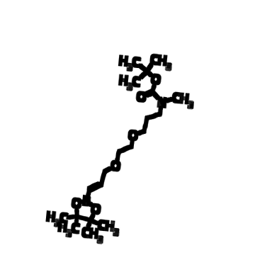 CN(CCCOCCOC/C=C/B1OC(C)(C)C(C)(C)O1)C(=O)OC(C)(C)C